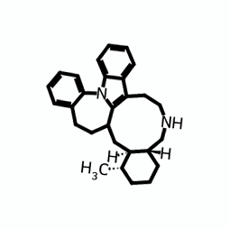 C[C@H]1CCC[C@H]2CNCCc3c4n(c5ccccc35)-c3ccccc3CCC4C[C@@H]21